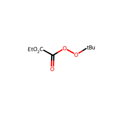 CCOC(=O)C(=O)OOC(C)(C)C